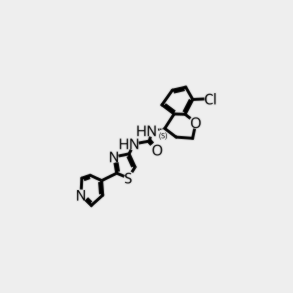 O=C(Nc1csc(-c2ccncc2)n1)N[C@H]1CCOc2c(Cl)cccc21